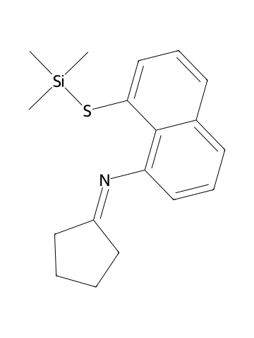 C[Si](C)(C)Sc1cccc2cccc(N=C3CCCC3)c12